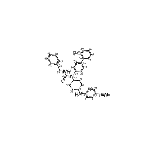 N#Cc1ccc(NC2CCC(N(C(=O)NCc3ccccc3)c3ccc(-c4ccccc4F)cc3)CC2)nc1